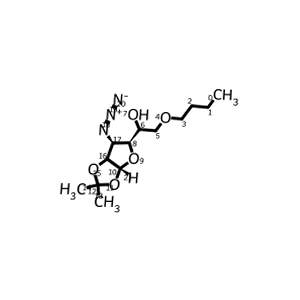 CCCCOCC(O)[C@H]1O[C@@H]2OC(C)(C)OC2[C@H]1N=[N+]=[N-]